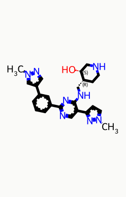 Cn1cc(-c2cccc(-c3ncc(-c4ccn(C)n4)c(NC[C@H]4CCNC[C@H]4O)n3)c2)cn1